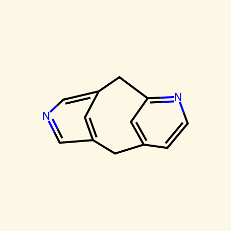 c1cc2cc(n1)Cc1cncc(c1)C2